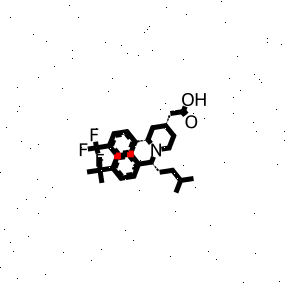 CC(C)CC[C@H](c1ccc(C(C)(C)C)cc1)N1CC[C@@H](CC(=O)O)C[C@H]1c1ccc(C(F)(F)F)cc1